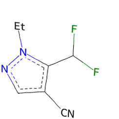 CCn1ncc(C#N)c1C(F)F